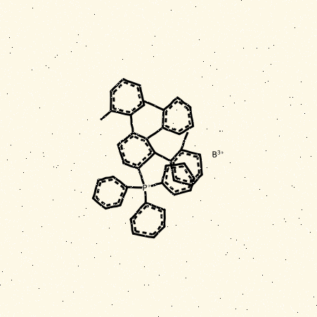 Cc1ccccc1-c1ccc([P+](c2ccccc2)(c2ccccc2)c2ccccc2)c(-c2ccccc2C)c1-c1ccccc1C.[B+3]